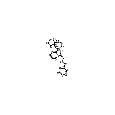 c1ccc([C@@]2(CCNCCc3cccnc3)CCOC3(CCCC3)C2)nc1